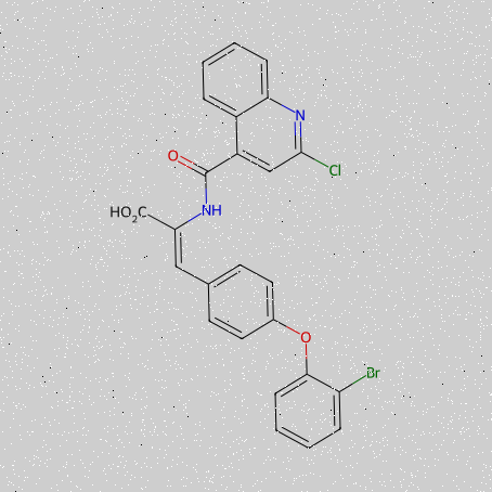 O=C(O)/C(=C/c1ccc(Oc2ccccc2Br)cc1)NC(=O)c1cc(Cl)nc2ccccc12